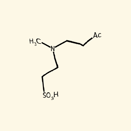 CC(=O)CCN(C)CCS(=O)(=O)O